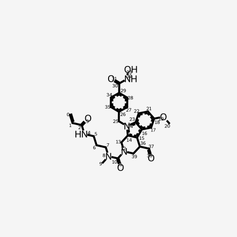 C=CC(=O)NCCCN(C)C(=O)N1Cc2c(c3cc(OC)ccc3n2Cc2ccc(C(=O)NO)cc2)C(C=O)C1